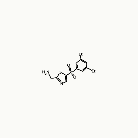 CCc1cc(CC)cc(S(=O)(=O)c2cnc(CN)s2)c1